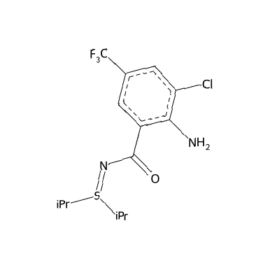 CC(C)S(=NC(=O)c1cc(C(F)(F)F)cc(Cl)c1N)C(C)C